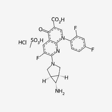 CS(=O)(=O)O.Cl.N[C@@H]1[C@H]2CN(c3nc4c(cc3F)c(=O)c(C(=O)O)cn4-c3ccc(F)cc3F)C[C@@H]12